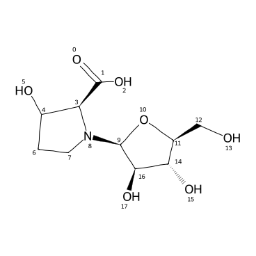 O=C(O)[C@@H]1C(O)CCN1[C@H]1O[C@@H](CO)[C@H](O)[C@H]1O